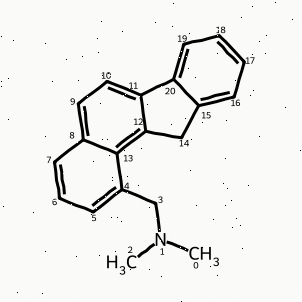 CN(C)Cc1cccc2ccc3c(c12)Cc1ccccc1-3